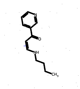 CCCCN/C=C\C(=O)c1cccnc1